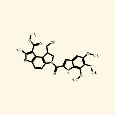 COC(=O)c1c(C)[nH]c2ccc3c(c12)C(CO)CN3C(=O)c1cc2cc(OC)c(OC)c(OC)c2[nH]1